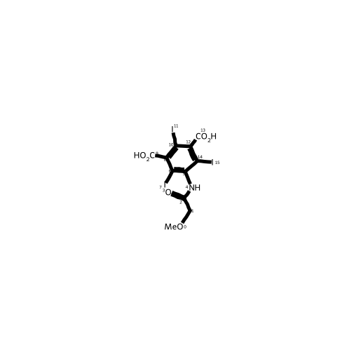 COCC(=O)Nc1c(I)c(C(=O)O)c(I)c(C(=O)O)c1I